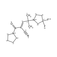 CC(C)(C=C(C#N)C(=O)N1C[CH]CC1)N1CCC(F)(F)C1